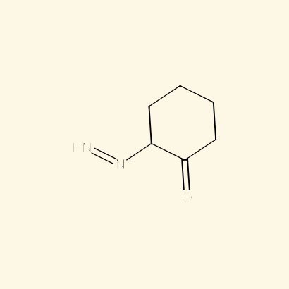 N=NC1CCCCC1=O